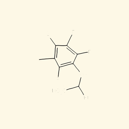 CCC(Oc1c(F)c(C)c(F)c(F)c1F)C(=O)O